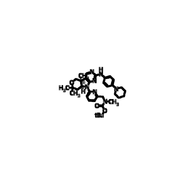 CN(Cc1cccc(N2c3nc(Nc4ccc(N5CCCCC5)cc4)ncc3[C@]3(C)COC(C)(C)C[C@H]23)n1)C(=O)OC(C)(C)C